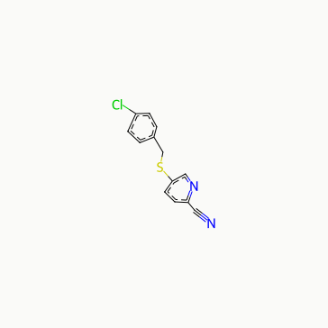 N#Cc1ccc(SCc2ccc(Cl)cc2)cn1